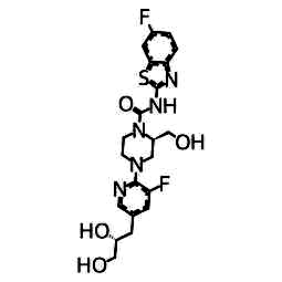 O=C(Nc1nc2ccc(F)cc2s1)N1CCN(c2ncc(C[C@@H](O)CO)cc2F)C[C@@H]1CO